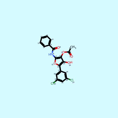 CC(=O)Oc1c(NC(=O)c2ccccc2)oc(-c2cc(Cl)cc(Cl)c2)c1O